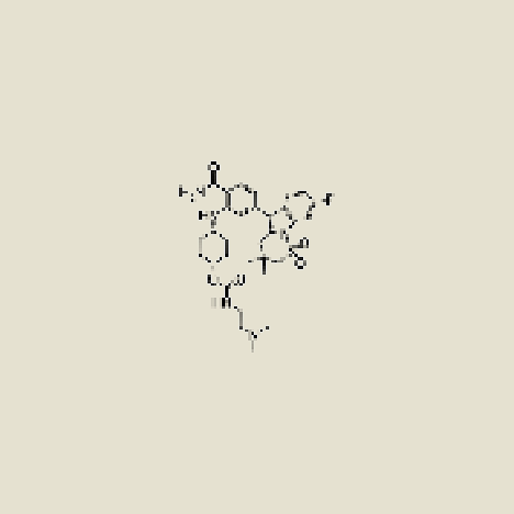 CN(C)CCNC(=O)O[C@H]1CC[C@H](Nc2cc(-c3c4n(c5cc(F)ccc35)S(=O)(=O)CC(C)(C)C4)ccc2C(N)=O)CC1